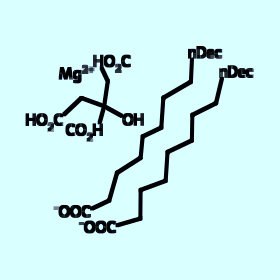 CCCCCCCCCCCCCCCCCC(=O)[O-].CCCCCCCCCCCCCCCCCC(=O)[O-].O=C(O)CC(O)(CC(=O)O)C(=O)O.[Mg+2]